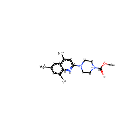 CC(=O)c1cc(C)cc2c(C#N)cc(N3CCN(C(=O)OC(C)(C)C)CC3)nc12